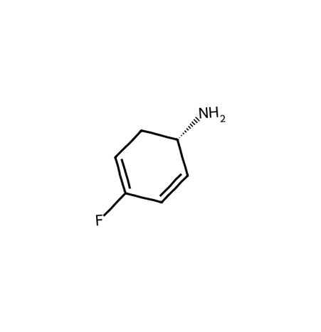 N[C@@H]1C=CC(F)=CC1